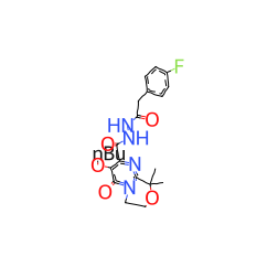 CCCCOc1c(C(=O)NNC(=O)Cc2ccc(F)cc2)nc2n(c1=O)CCOC2(C)C